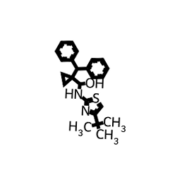 CC(C)(C)c1csc(NC(O)C2(C(c3ccccc3)c3ccccc3)CC2)n1